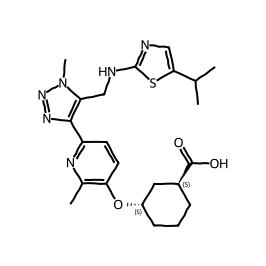 Cc1nc(-c2nnn(C)c2CNc2ncc(C(C)C)s2)ccc1O[C@H]1CCC[C@H](C(=O)O)C1